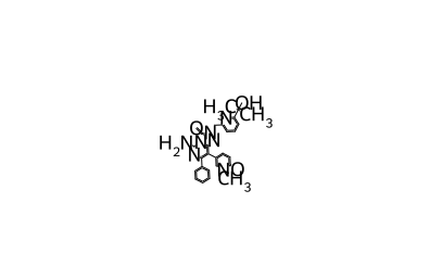 Cn1cc(-c2c(-c3ccccc3)nc(N)n3c(=O)n(Cc4cccc(C(C)(C)O)n4)nc23)ccc1=O